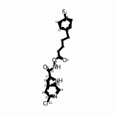 O=C(CCCCc1ccc(F)cc1)ONC(=O)c1cc2cc(Cl)ncc2[nH]1